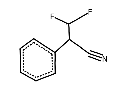 N#CC([C](F)F)c1ccccc1